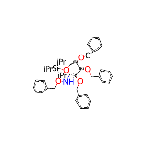 CC(C)[Si](OC[C@@H](OCc1ccccc1)[C@H](OCc1ccccc1)[C@@H](CNOCc1ccccc1)OCc1ccccc1)(C(C)C)C(C)C